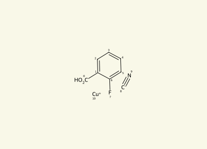 O=C(O)c1ccccc1F.[C-]#N.[Cu+]